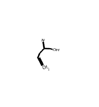 C=CC([N])O